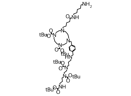 CC(C)(C)OC(=O)NCCCN(CCN(CCCNCc1ccc(CN2CCCN(CCCCC(=O)NCCCCCN)CCN(C(=O)OC(C)(C)C)CCCN(C(=O)OC(C)(C)C)CC2)cc1)C(=O)OC(C)(C)C)C(=O)OC(C)(C)C